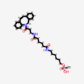 CC(C)P(=O)(O)OCCCCCCNC(=O)CCCCC(=O)NCCC(=O)N1Cc2ccccc2/C=C\c2ccccc21